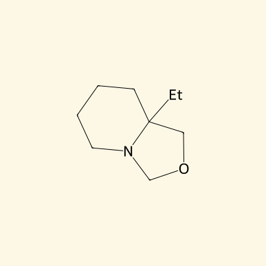 CCC12CCCCN1COC2